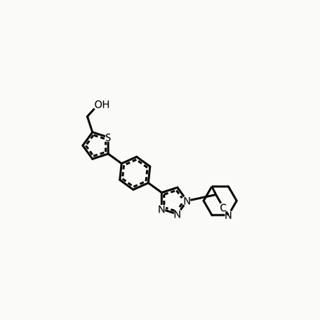 OCc1ccc(-c2ccc(-c3cn(C4CN5CCC4CC5)nn3)cc2)s1